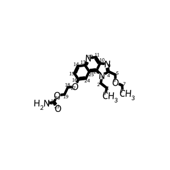 CCCn1c(COCC)nc2cnc3ccc(OCCOC(N)=O)cc3c21